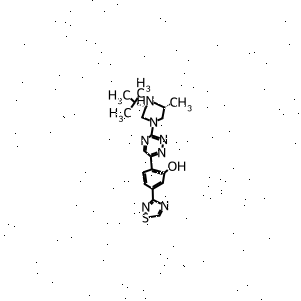 C[C@@H]1CN(c2ncc(-c3ccc(-c4ncsn4)cc3O)nn2)C[C@H](C(C)(C)C)N1